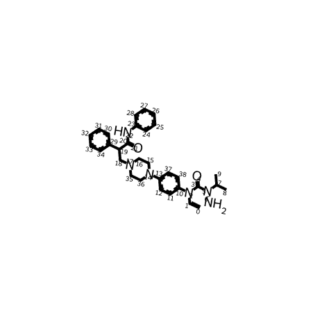 C=CN(C(=O)N(N)C(C)C)c1ccc(N2CCN(CC(C(=O)Nc3ccccc3)c3ccccc3)CC2)cc1